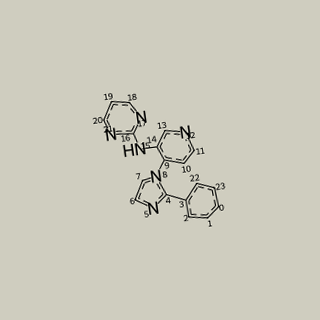 c1ccc(-c2nccn2-c2ccncc2Nc2ncccn2)cc1